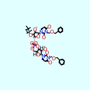 CO[C@@H]1[C@H](O[Si](C)(C)C(C)(C)C)[C@@H](CO[P@]2(=O)OC[C@H]3O[C@@H](n4ccc(=O)n(COCc5ccccc5)c4=O)[C@H](OC)[C@@H]3O2)O[C@H]1n1ccc(=O)n(COCc2ccccc2)c1=O